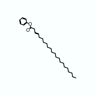 CCCCCCCCCCCCCCCCCCC=CCC(=O)Oc1ccccc1